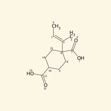 CC=C(C)C1(C(=O)O)CCC(C(=O)O)CC1